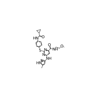 COCCNC(=O)c1cc(Nc2cc(C)[nH]n2)nc(Sc2ccc(NC(=O)C3CC3)cc2)n1